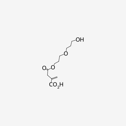 C=C(CC(=O)OCCCOCCCO)C(=O)O